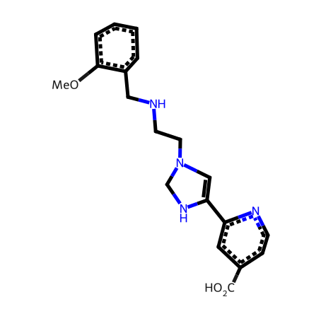 COc1ccccc1CNCCN1C=C(c2cc(C(=O)O)ccn2)NC1